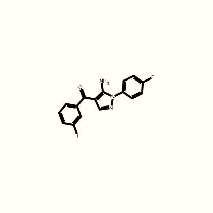 Nc1c(C(=O)c2cccc(I)c2)cnn1-c1ccc(F)cc1